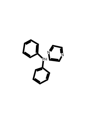 c1ccc(Pc2ccccc2)cc1.c1cnccn1